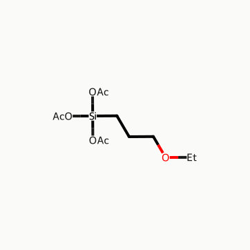 CCOCCC[Si](OC(C)=O)(OC(C)=O)OC(C)=O